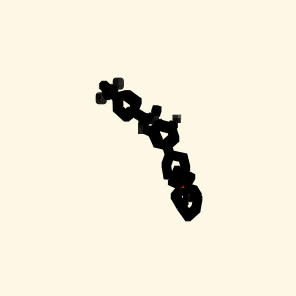 Cn1c(-c2ccc(S(C)(=O)=O)cc2)nc2cc(C3CCN(C4CC5CCC(C4)N5C4CCC4)CC3)cc(F)c21